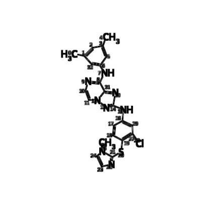 Cc1cc(C)cc(Nc2nccn3nc(Nc4ccc(Sc5nccn5C)c(Cl)c4)nc23)c1